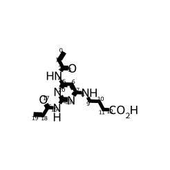 C=CC(=O)Nc1cc(NCCCC(=O)O)nc(NC(=O)C=C)n1